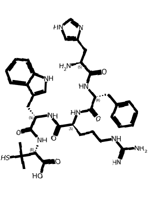 CC(C)(S)[C@H](NC(=O)[C@H](Cc1c[nH]c2ccccc12)NC(=O)[C@H](CCCNC(=N)N)NC(=O)[C@@H](Cc1ccccc1)NC(=O)[C@@H](N)Cc1c[nH]cn1)C(=O)O